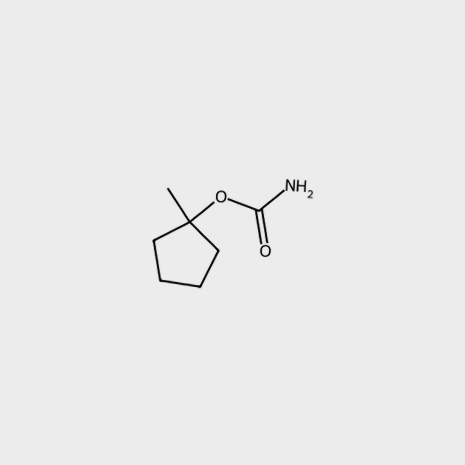 CC1(OC(N)=O)CCCC1